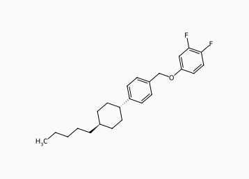 CCCCC[C@H]1CC[C@H](c2ccc(COc3ccc(F)c(F)c3)cc2)CC1